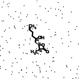 C=CCC[C@@H](O)C[C@@H]1OC(=O)[C@H]1C